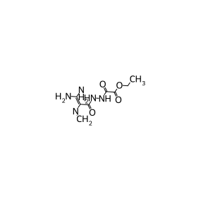 C=NC(C(=O)NNC(=O)C(=O)OCC)=C(N)N